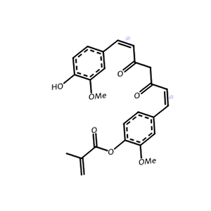 C=C(C)C(=O)Oc1ccc(/C=C\C(=O)CC(=O)/C=C\c2ccc(O)c(OC)c2)cc1OC